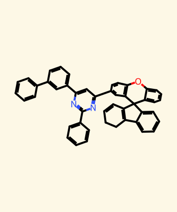 C1=CC2=C(CC1)c1ccccc1C21c2ccccc2Oc2ccc(-c3cc(-c4cccc(-c5ccccc5)c4)nc(-c4ccccc4)n3)cc21